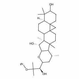 CC(C)OC(C)(C)[C@H](O)C1C[C@@H](C)C2C(O1)[C@H](O)[C@@]1(C)C3CC[C@H]4C(C)(C)C(O)CCC45CC35CCC21C